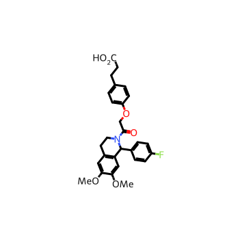 COc1cc2c(cc1OC)C(c1ccc(F)cc1)N(C(=O)COc1ccc(CCC(=O)O)cc1)CC2